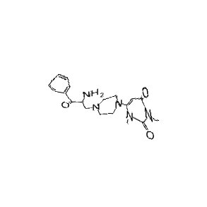 Cn1c(N2CCN(CC(N)C(=O)c3ccccc3)CC2)cc(=O)n(C)c1=O